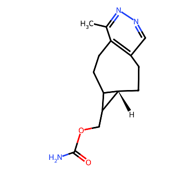 Cc1nncc2c1CCC1C(COC(N)=O)[C@H]1CC2